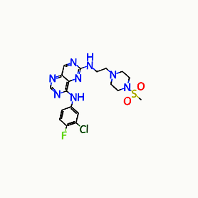 CS(=O)(=O)N1CCN(CCNc2ncc3ncnc(Nc4ccc(F)c(Cl)c4)c3n2)CC1